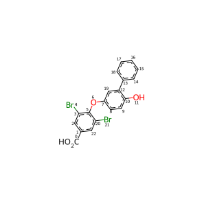 O=C(O)c1cc(Br)c(Oc2ccc(O)c(-c3ccccc3)c2)c(Br)c1